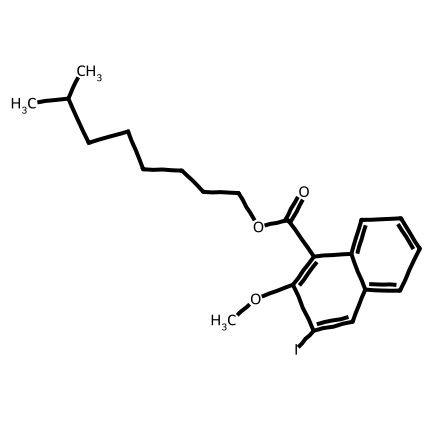 COc1c(I)cc2ccccc2c1C(=O)OCCCCCCC(C)C